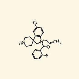 C=CC[N+]1(C(=O)c2ccccc2F)CC2(CCNCC2)c2cc(Cl)ccc21